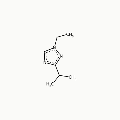 CCn1cnc(C(C)C)n1